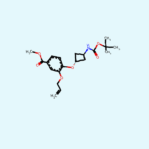 C=CCOc1cc(C(=O)OC)ccc1O[C@H]1C[C@H](NC(=O)OC(C)(C)C)C1